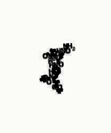 CC(C[C@H](Cc1ccc(NC(=O)[C@H](CCCNC(N)=O)NC(=O)[C@@H](NC=O)C(C)C)cc1)NC(=O)OC(C)(C)C)C(=O)OC(C)(C)C